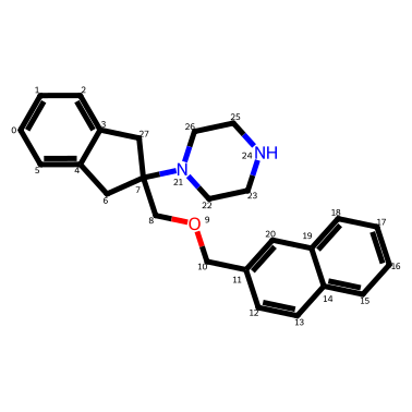 c1ccc2c(c1)CC(COCc1ccc3ccccc3c1)(N1CCNCC1)C2